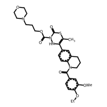 CCOc1ccc(C(=O)N2CCCc3cc(C4=C(C)SC(=O)N(C(=O)OCCCN5CCOCC5)N4)ccc32)cc1OC